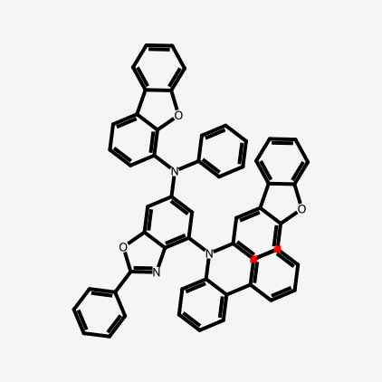 c1ccc(-c2nc3c(N(c4ccc5oc6ccccc6c5c4)c4ccccc4-c4ccccc4)cc(N(c4ccccc4)c4cccc5c4oc4ccccc45)cc3o2)cc1